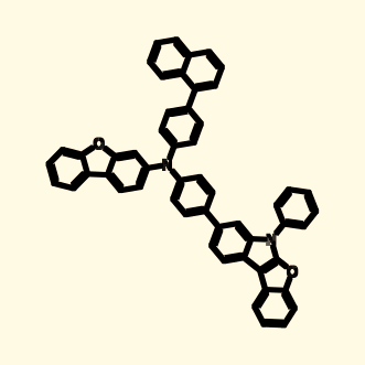 c1ccc(-n2c3cc(-c4ccc(N(c5ccc(-c6cccc7ccccc67)cc5)c5ccc6c(c5)oc5ccccc56)cc4)ccc3c3c4ccccc4oc32)cc1